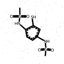 CS(=O)(=O)Nc1ccc(NS(C)(=O)=O)c(S)c1